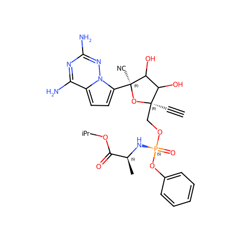 C#C[C@]1(CO[P@@](=O)(N[C@@H](C)C(=O)OC(C)C)Oc2ccccc2)O[C@@](C#N)(c2ccc3c(N)nc(N)nn23)C(O)C1O